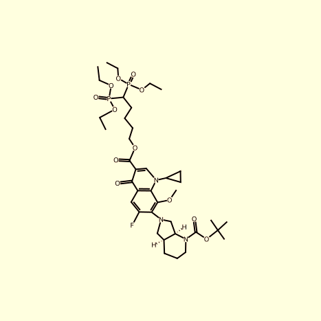 CCOP(=O)(OCC)C(CCCCOC(=O)c1cn(C2CC2)c2c(OC)c(N3C[C@@H]4CCCN(C(=O)OC(C)(C)C)[C@@H]4C3)c(F)cc2c1=O)P(=O)(OCC)OCC